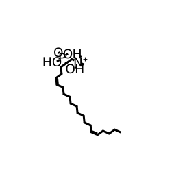 CCCC/C=C\CCCCCCCCC/C=C\CCC(O)(C[N+](C)(C)C)P(=O)(O)O